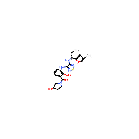 CC[C@@H](Nc1nsnc1Nc1cccc(C(=O)N2CCC(O)C2)c1O)c1cc(C)co1